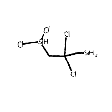 [SiH3]C(Cl)(Cl)C[SiH](Cl)Cl